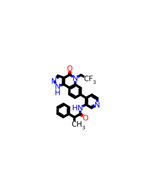 CC(C(=O)Nc1cnccc1-c1ccc2c3[nH]ncc3c(=O)n(CC(F)(F)F)c2c1)c1ccccc1